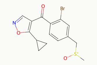 C[S+]([O-])Cc1ccc(C(=O)c2cnoc2C2CC2)c(Br)c1